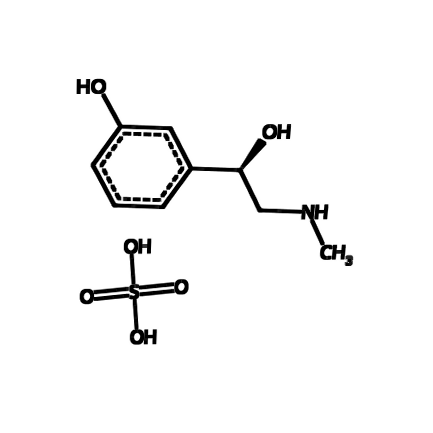 CNC[C@H](O)c1cccc(O)c1.O=S(=O)(O)O